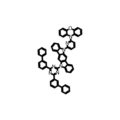 c1ccc(-c2cccc(-c3nc(-c4cccc(-c5ccccc5)c4)nc(-n4c5ccccc5c5cc6c(cc54)c4ccccc4n6-c4cccc(N5c6ccccc6Oc6ccccc65)n4)n3)c2)cc1